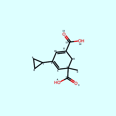 CC1(C(=O)O)C=C(C2CC2)C=C(C(=O)O)C1